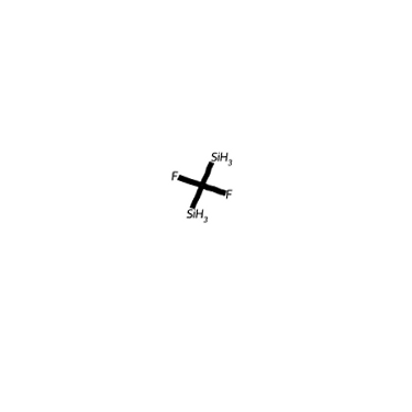 FC(F)([SiH3])[SiH3]